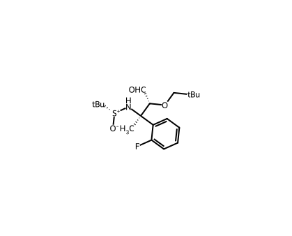 CC(C)(C)CO[C@@H](C=O)[C@](C)(N[S@+]([O-])C(C)(C)C)c1ccccc1F